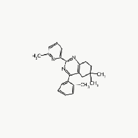 Cc1cccc(-c2nc3c(c(-c4ccccc4C)n2)CC(C)(C)CC3)n1